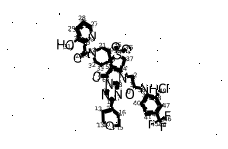 O=C(Cn1c2c(c(=O)n3nc(C4=CCOCC4)nc13)C1(CCN(C(=O)c3ncccc3O)CC1)S(=O)(=O)C2)Nc1ccc(C(F)(F)F)cc1Cl